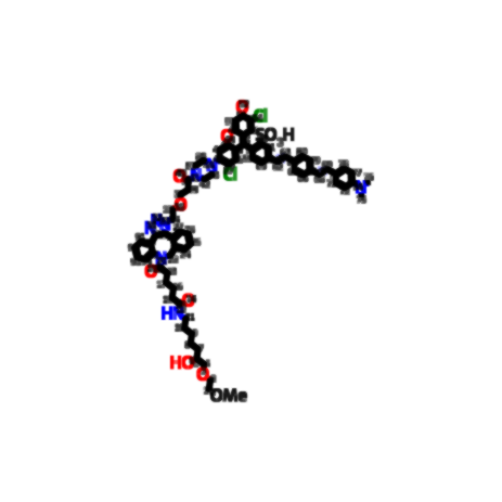 COCCOCC(O)CCCCCNC(=O)CCCCC(=O)N1Cc2ccccc2C2C(N=NN2CCOCCC(=O)N2CCN(c3cc4oc5cc(=O)c(Cl)cc-5c(-c5ccc(/C=C/c6ccc(/C=C/c7ccc(N(C)C)cc7)cc6)cc5S(=O)(=O)O)c4cc3Cl)CC2)c2ccccc21